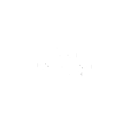 CC(=O)O.NCC(=O)O.[NaH]